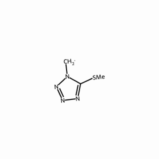 [CH2]n1nnnc1SC